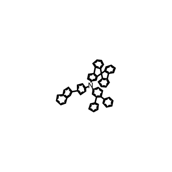 c1ccc(-c2ccc(N(c3ccc(-c4ccc5ccccc5c4)cc3)c3ccc4c(c3)C3(c5ccccc5-c5ccccc53)c3ccccc3-4)cc2-c2ccccc2)cc1